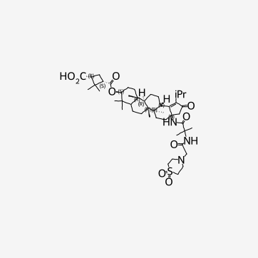 CC(C)C1=C2[C@H]3CC[C@@H]4[C@@]5(C)CC[C@H](OC(=O)[C@H]6C[C@@H](C(=O)O)C6(C)C)C(C)(C)C5CC[C@@]4(C)[C@]3(C)CC[C@@]2(NC(=O)C(C)(C)NC(=O)CN2CCS(=O)(=O)CC2)CC1=O